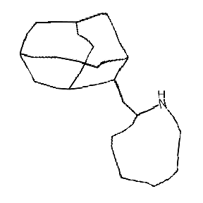 C1CCNC(C2C3CC4CC(C3)CC2C4)CC1